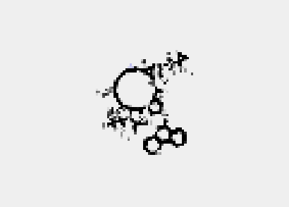 C[C@@H]1CC/C=C\[C@@H]2C[C@@]2(C(=O)NS(=O)(=O)C2(C)CC2)NC(=O)[C@@H]2C[C@@H](Oc3nc4c(c5ccccc35)OCCC4)CN2C(=O)[C@@H](N(C(=O)O)C(C)(C)C(F)(F)F)[C@H](C)C1